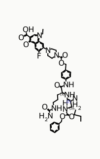 CCCC[C@H](NC(=O)OCc1ccccc1)/C(N)=C/N[C@@H](CCCNC(N)=O)C(=O)Nc1ccc(COC(=O)N2CCN(c3cc4c(cc3F)c(=O)c(C(=O)O)cn4CC)CC2)cc1